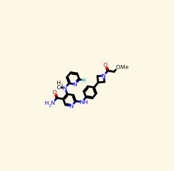 COCC(=O)N1CC(c2ccc(Nc3cc(N(C)c4cccc(F)n4)c(C(N)=O)cn3)cc2)C1